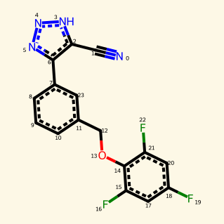 N#Cc1[nH]nnc1-c1cccc(COc2c(F)cc(F)cc2F)c1